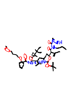 CCCN(C(=O)NC)C(=O)C(CCC(CC(C(C)C)C(NC(=O)c1ccccc1OCCCCOC)O[Si](C)(C)C(C)(C)C)NC(=O)OC(C)(C)C)C(C)C